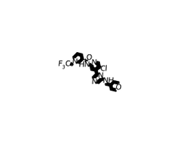 O=C(Nc1cc(-c2cncc(NCC3CCOCC3)n2)c(Cl)cn1)[C@H]1CCCN(CC(F)(F)F)C1